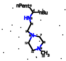 CCCCCC(CCCC)NCCN1CCN(C)CC1